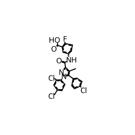 Cc1c(C(=O)Nc2ccc(F)c(C(=O)O)c2)nn(-c2ccc(Cl)cc2Cl)c1-c1ccc(Cl)cc1